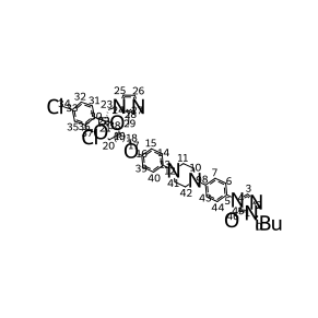 CCC(C)n1ncn(-c2ccc(N3CCN(c4ccc(OC[C@@H]5CO[C@@](Cn6ccnc6C)(c6ccc(Cl)cc6Cl)O5)cc4)CC3)cc2)c1=O